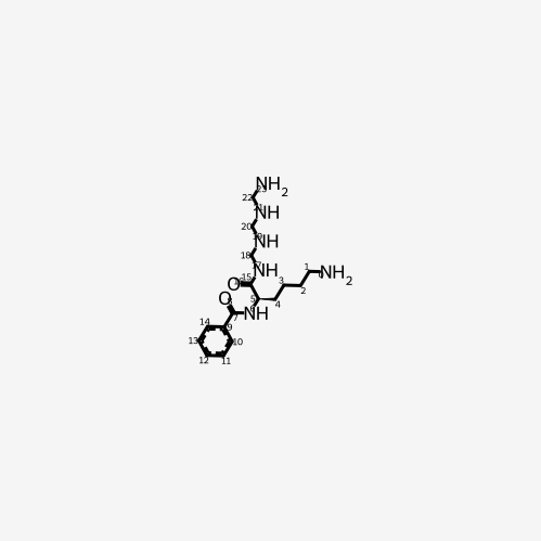 NCCCC[C@@H](NC(=O)c1ccccc1)C(=O)NCNCNCN